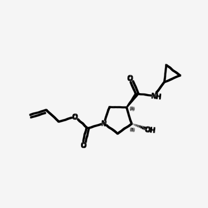 C=CCOC(=O)N1C[C@@H](O)[C@H](C(=O)NC2CC2)C1